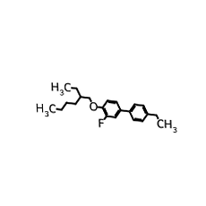 CCCCC(CC)COc1ccc(-c2ccc(CC)cc2)cc1F